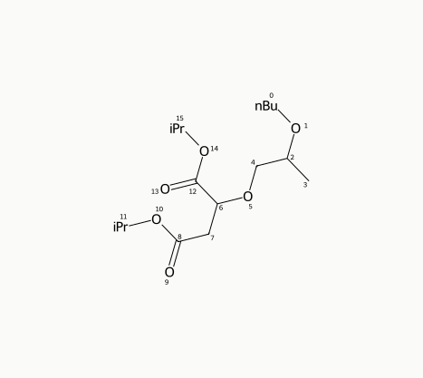 CCCCOC(C)COC(CC(=O)OC(C)C)C(=O)OC(C)C